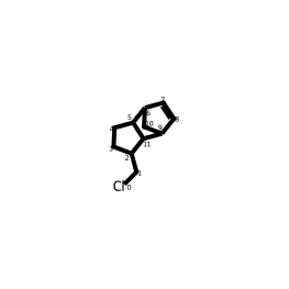 ClCC1CCC2C3C=CC(C3)C12